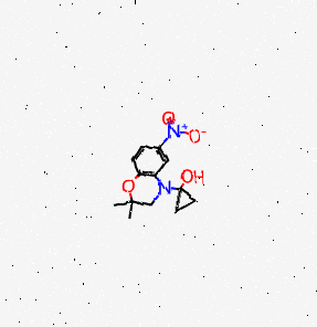 CC1(C)CN(C2(O)CC2)c2cc([N+](=O)[O-])ccc2O1